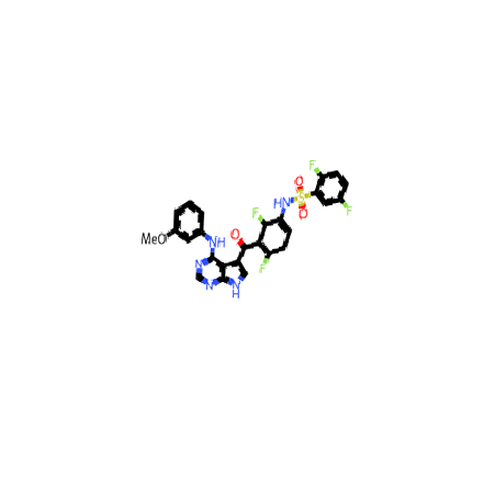 COc1cccc(Nc2ncnc3[nH]cc(C(=O)C4C(F)CC=C(NS(=O)(=O)c5cc(F)ccc5F)C4F)c23)c1